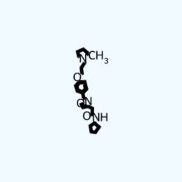 CC1CCCN1CCCOc1ccc(-c2nc(CC(=O)NC3CCCC3)co2)cc1